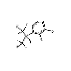 FC(F)(F)C(F)(c1cc[c]c(Br)c1I)C(F)(F)F